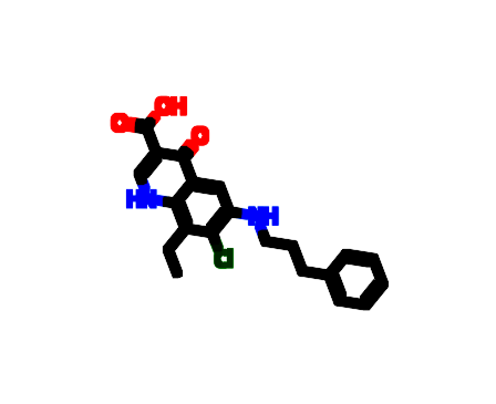 CCc1c(Cl)c(NCCCc2ccccc2)cc2c(=O)c(C(=O)O)c[nH]c12